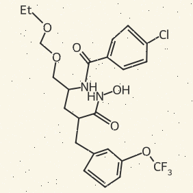 CCOCOCC(CC(Cc1cccc(OC(F)(F)F)c1)C(=O)NO)NC(=O)c1ccc(Cl)cc1